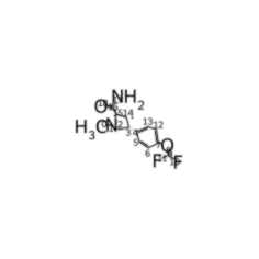 CN1C[C@@H](c2ccc(OC(F)F)cc2)[CH]C1C(N)=O